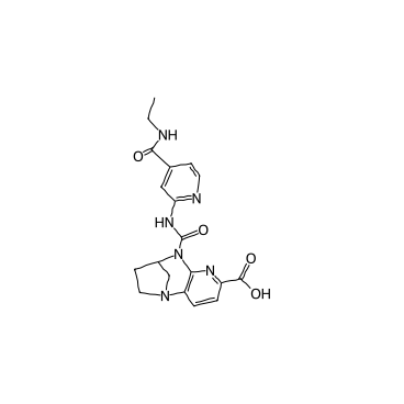 CCNC(=O)c1ccnc(NC(=O)N2c3nc(C(=O)O)ccc3N3CCC2C3)c1